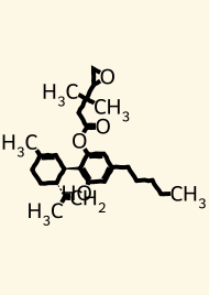 C=C(C)[C@@H]1CCC(C)=C[C@H]1c1c(O)cc(CCCCC)cc1OC(=O)CC(C)(C)C1CO1